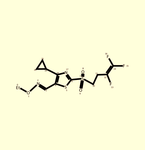 CCON=Cc1sc(S(=O)(=O)CCC(F)=C(F)F)nc1C1CC1